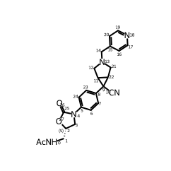 CC(=O)NC[C@H]1CN(c2ccc(C3(C#N)C4CN(Cc5ccncc5)CC43)cc2)C(=O)O1